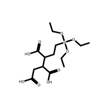 CCO[Si](CCC(C(=O)O)C(CC(=O)O)C(=O)O)(OCC)OCC